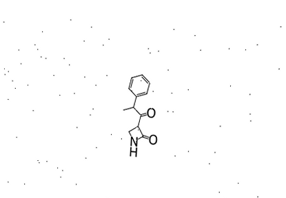 CC(C(=O)C1CNC1=O)c1ccccc1